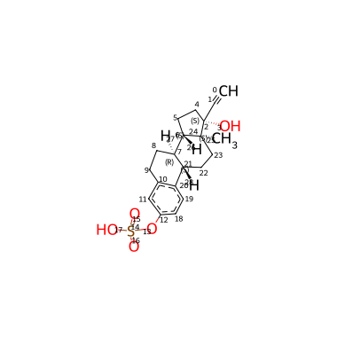 C#C[C@]1(O)CC[C@H]2[C@@H]3CCc4cc(OS(=O)(=O)O)ccc4[C@H]3CC[C@@]21C